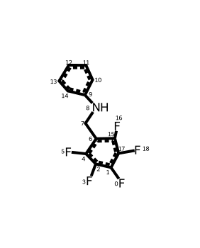 Fc1c(F)c(F)c(CNc2ccccc2)c(F)c1F